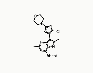 CCCCCCCc1cc(C)nc2c(-c3sc(N4CCOCC4)nc3Cl)c(C)nn12